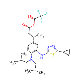 CC(C)CN(CC(C)C)c1ccc(C(C)CC(=O)OC(=O)C(F)(F)F)cc1Nc1nnc(C2CC2)s1